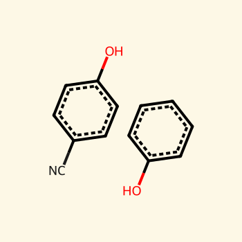 N#Cc1ccc(O)cc1.Oc1ccccc1